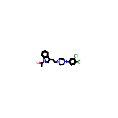 CC(=O)N1CC(CCN2CCN(c3ccc(Cl)c(Cl)c3)CC2)c2ccccc21